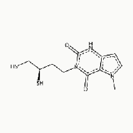 Cn1ccc2[nH]c(=O)n(CC[C@@H](S)CS)c(=O)c21